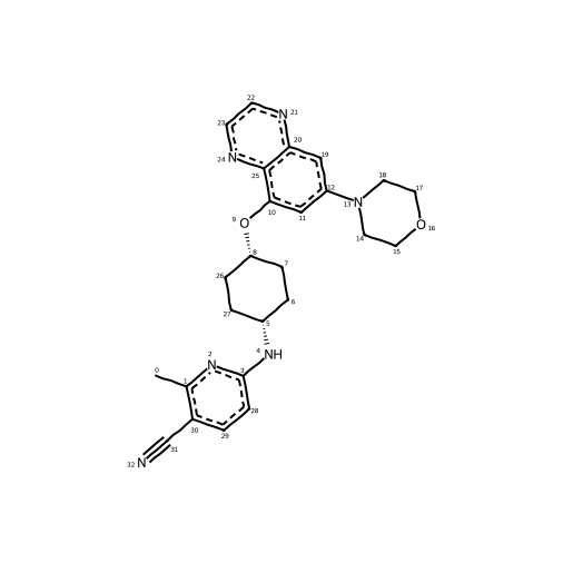 Cc1nc(N[C@H]2CC[C@@H](Oc3cc(N4CCOCC4)cc4nccnc34)CC2)ccc1C#N